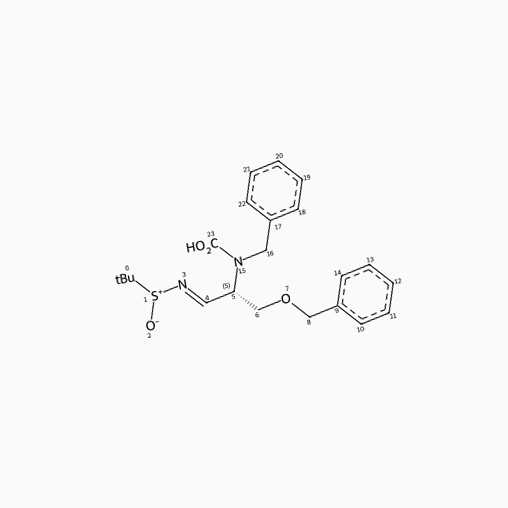 CC(C)(C)[S+]([O-])N=C[C@@H](COCc1ccccc1)N(Cc1ccccc1)C(=O)O